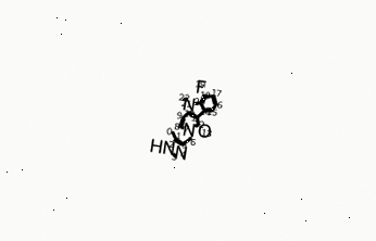 Cc1[nH]cnc1Cn1ccc2c(c1=O)c1cccc(F)c1n2C